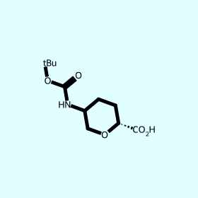 CC(C)(C)OC(=O)NC1CC[C@H](C(=O)O)OC1